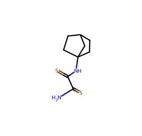 NC(=S)C(=S)NC12CCC(CC1)C2